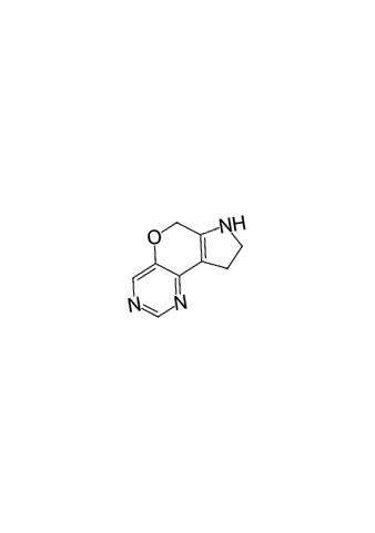 c1ncc2c(n1)C1=C(CO2)NCC1